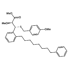 COC(=O)[C@H](OC)[C@H](SCc1ccc(OC)cc1)c1ccccc1CCCCCCCCc1ccccc1